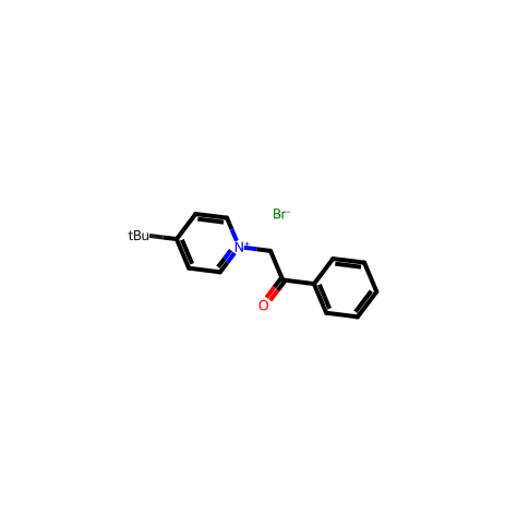 CC(C)(C)c1cc[n+](CC(=O)c2ccccc2)cc1.[Br-]